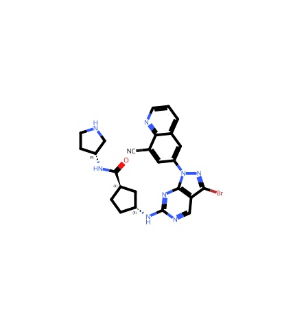 N#Cc1cc(-n2nc(Br)c3cnc(N[C@@H]4CC[C@@H](C(=O)N[C@@H]5CCNC5)C4)nc32)cc2cccnc12